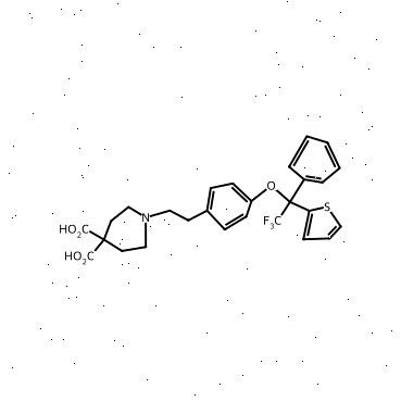 O=C(O)C1(C(=O)O)CCN(CCc2ccc(OC(c3ccccc3)(c3cccs3)C(F)(F)F)cc2)CC1